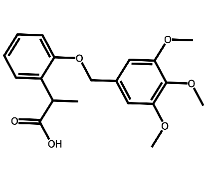 COc1cc(COc2ccccc2C(C)C(=O)O)cc(OC)c1OC